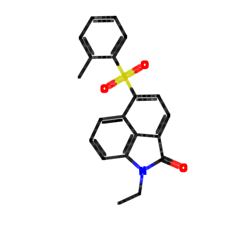 CCN1C(=O)c2ccc(S(=O)(=O)c3ccccc3C)c3cccc1c23